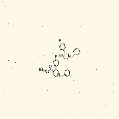 C[C@@H]1CN(C(=O)OC(C)(C)C)[C@@H](c2ccc(F)cc2)CN1Cc1ccccc1.C[C@@H]1CN[C@@H](c2ccc(F)cc2)CN1Cc1ccccc1